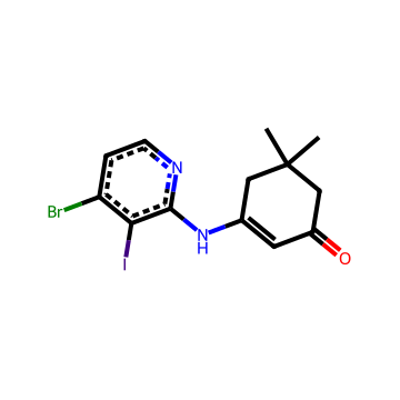 CC1(C)CC(=O)C=C(Nc2nccc(Br)c2I)C1